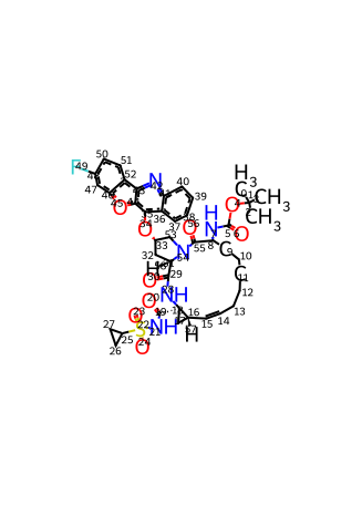 CC(C)(C)OC(=O)N[C@H]1CCCCC/C=C\[C@@H]2C[C@@]2(C(=O)NS(=O)(=O)C2CC2)NC(=O)[C@@H]2C[C@@H](Oc3c4ccccc4nc4c3oc3cc(F)ccc34)CN2C1=O